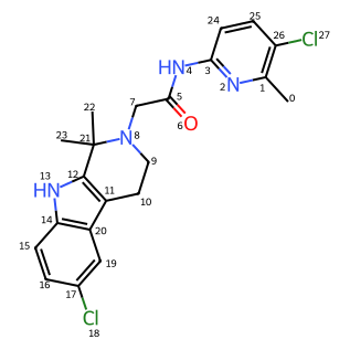 Cc1nc(NC(=O)CN2CCc3c([nH]c4ccc(Cl)cc34)C2(C)C)ccc1Cl